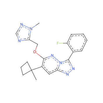 Cn1ncnc1COc1nn2c(-c3ccccc3F)nnc2cc1C1(C)CCC1